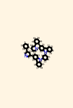 c1ccc(-c2cncc(-c3ccc4c(c3)c3ccccc3n4-c3cccc(-n4c5ccccc5c5cc(-c6ccccc6-c6ccccn6)ccc54)c3)c2)cc1